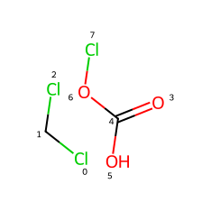 ClCCl.O=C(O)OCl